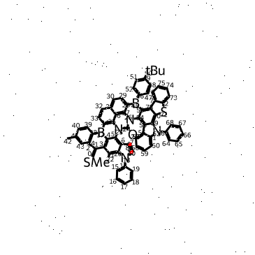 C=C(C)c1c2c(c3c4ccccc4n(-c4ccccc4)c3c1SC)N1C(=O)N3c4c(ccc5ccc(c1c45)B2c1ccc(C)cc1)B(c1ccc(C(C)(C)C)cc1)c1c3c2c3ccccc3n(-c3ccccc3)c2c2sc3ccccc3c12